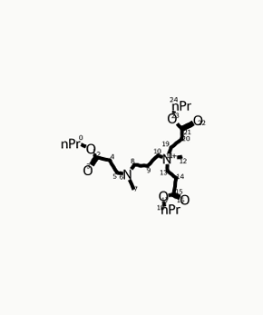 CCCOC(=O)CCN(C)CCC[N+](C)(CCC(=O)OCCC)CCC(=O)OCCC